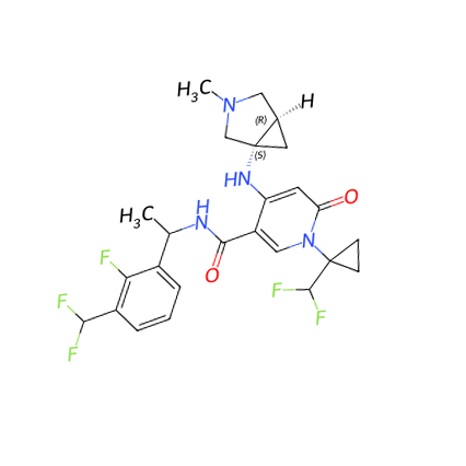 CC(NC(=O)c1cn(C2(C(F)F)CC2)c(=O)cc1N[C@@]12C[C@@H]1CN(C)C2)c1cccc(C(F)F)c1F